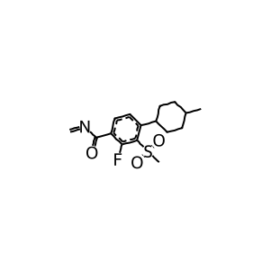 C=NC(=O)c1ccc(C2CCC(C)CC2)c(S(C)(=O)=O)c1F